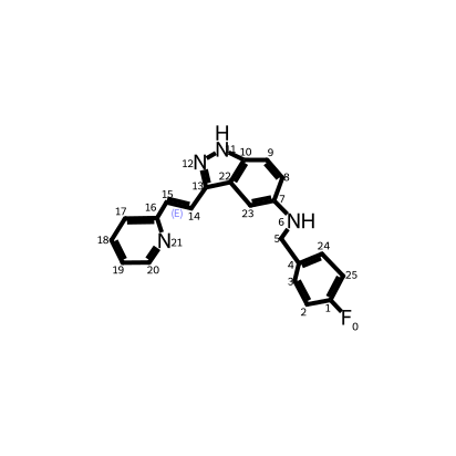 Fc1ccc(CNc2ccc3[nH]nc(/C=C/c4ccccn4)c3c2)cc1